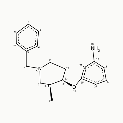 C[C@H]1CN(Cc2ccccc2)CC[C@H]1Oc1cccc(N)n1